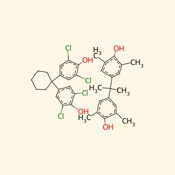 Cc1cc(C(C)(C)c2cc(C)c(O)c(C)c2)cc(C)c1O.Oc1c(Cl)cc(C2(c3cc(Cl)c(O)c(Cl)c3)CCCCC2)cc1Cl